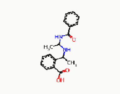 CC(NC(=O)c1ccccc1)NC(C)c1ccccc1C(=O)O